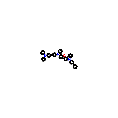 c1ccc(-c2ccc(-n3c4ccccc4c4c5oc6c(ccc7c6c6ccccc6n7-c6ccc(-c7ccc(N(c8ccccc8)c8ccccc8)cc7)cc6)c5ccc43)cc2)cc1